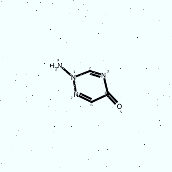 Nn1cnc(=O)cn1